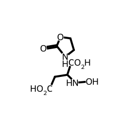 O=C(O)CC(NO)C(=O)O.O=C1NCCO1